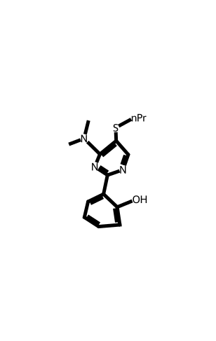 CCCSc1cnc(-c2ccccc2O)nc1N(C)C